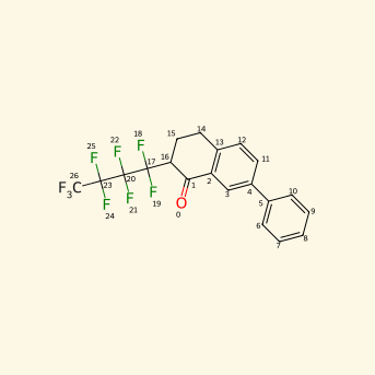 O=C1c2cc(-c3ccccc3)ccc2CCC1C(F)(F)C(F)(F)C(F)(F)C(F)(F)F